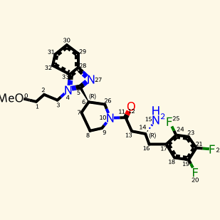 COCCCn1c([C@@H]2CCCN(C(=O)C[C@H](N)Cc3cc(F)c(F)cc3F)C2)nc2ccccc21